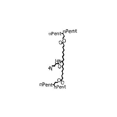 CCCCCC(CCCCC)CCOC(=O)CCCCCCCC(CCCCCCCC(=O)OCCC(CCCCC)CCCCC)NC(=O)CCCN(C)C